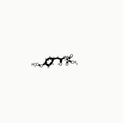 COc1ccc(CC(=O)NS(C)(=O)=O)cc1